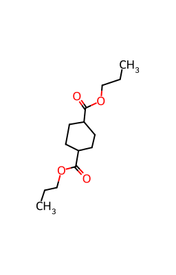 CCCOC(=O)C1CCC(C(=O)OCCC)CC1